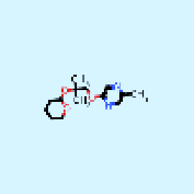 Cc1cnc(OCC(C)(C)OC2CCCCO2)cn1